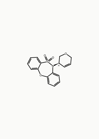 O=S1(=O)c2ccccc2Oc2ccccc2N1[C@@H]1C=CCOC1